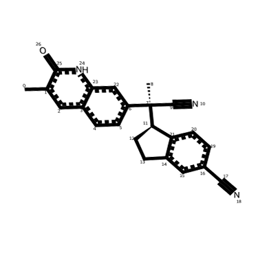 Cc1cc2ccc([C@@](C)(C#N)[C@@H]3CCc4cc(C#N)ccc43)cc2[nH]c1=O